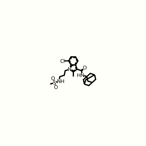 Cc1c(C(=O)NC23CC4CC(CC(C4)C2)C3)c2cccc(Cl)c2n1CCCNS(C)(=O)=O